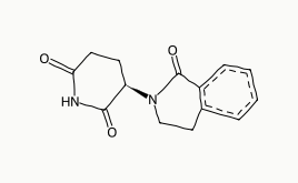 O=C1CC[C@@H](N2CCc3ccccc3C2=O)C(=O)N1